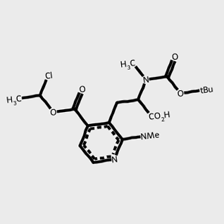 CNc1nccc(C(=O)OC(C)Cl)c1CC(C(=O)O)N(C)C(=O)OC(C)(C)C